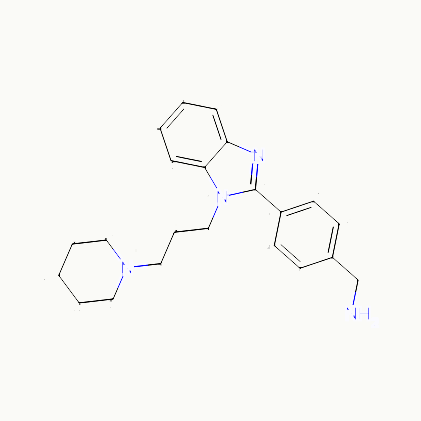 NCc1ccc(-c2nc3ccccc3n2CCCN2CCCCC2)cc1